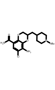 CCCCN1CCC(CC2COc3c(C(N)=O)cc(Cl)c(N)c3O2)CC1